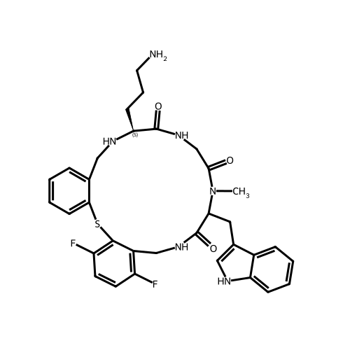 CN1C(=O)CNC(=O)[C@H](CCCN)NCc2ccccc2Sc2c(F)ccc(F)c2CNC(=O)C1Cc1c[nH]c2ccccc12